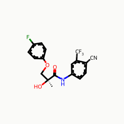 C[C@](O)(COc1ccc(F)cc1)C(=O)Nc1ccc(C#N)c(C(F)(F)F)c1